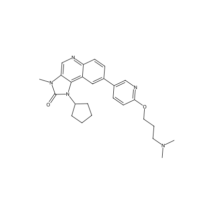 CN(C)CCCOc1ccc(-c2ccc3ncc4c(c3c2)n(C2CCCC2)c(=O)n4C)cn1